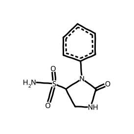 NS(=O)(=O)C1CNC(=O)N1c1ccccc1